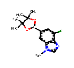 Cn1cnc2c(F)cc(B3OC(C)(C)C(C)(C)O3)cc21